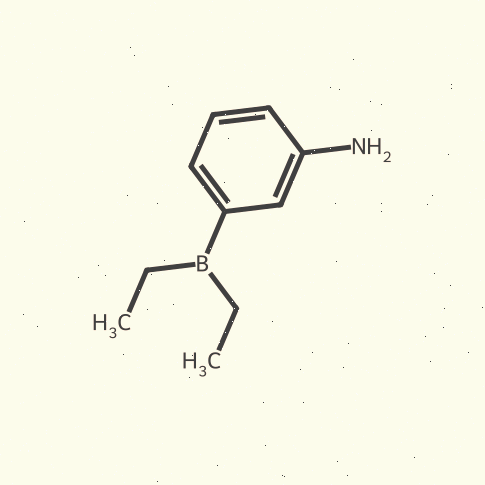 CCB(CC)c1cccc(N)c1